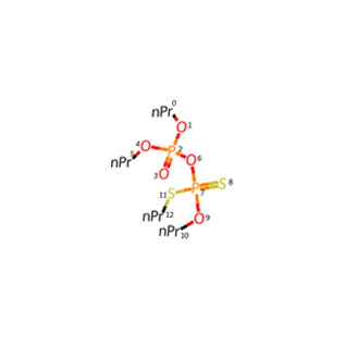 CCCOP(=O)(OCCC)OP(=S)(OCCC)SCCC